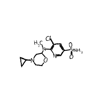 CN(c1ncc(S(N)(=O)=O)cc1Cl)C1CN(C2CC2)CCO1